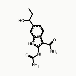 CCC(O)c1ccc2c(C(N)=O)c(NC(N)=O)[nH]c2c1